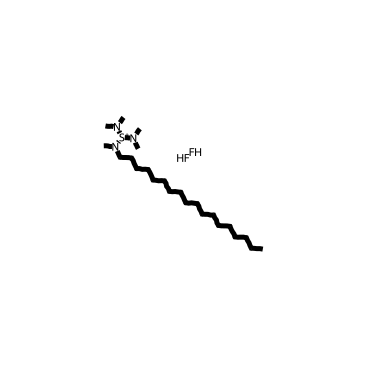 CCCCCCCCCCCCCCCCCCN(C)[S+](N(C)C)N(C)C.F.F